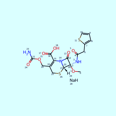 CO[C@]1(NC(=O)Cc2cccs2)C(=O)N2C(C(=O)O)=C(COC(N)=O)CS[C@H]21.[NaH]